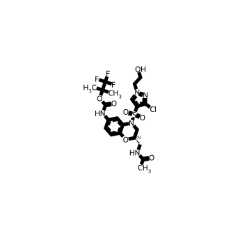 CC(=O)NC[C@H]1CN(S(=O)(=O)c2cn(CCO)nc2Cl)c2cc(NC(=O)OC(C)(C)C(F)(F)F)ccc2O1